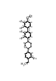 C=Cc1ccc(C2CCC(c3ccc(-c4ccc(OCC)c(F)c4F)c(F)c3F)CO2)cc1F